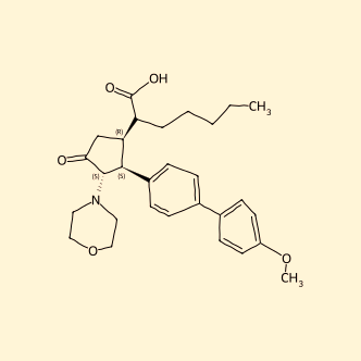 CCCCCC(C(=O)O)[C@@H]1CC(=O)[C@@H](N2CCOCC2)[C@@H]1c1ccc(-c2ccc(OC)cc2)cc1